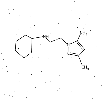 Cc1cc(C)n(CCNC2CCCCC2)n1